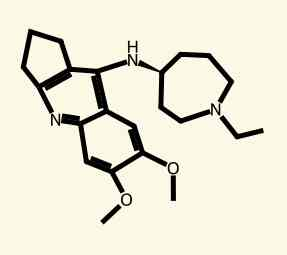 CCN1CCC[C@H](Nc2c3c(nc4cc(OC)c(OC)cc24)CCC3)CC1